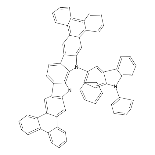 c1ccc(-n2c3ccccc3c3cc(-n4c5cc6c7ccccc7c7ccccc7c6cc5c5ccc6c7cc8c9ccccc9c9ccccc9c8cc7n(-c7ccccc7)c6c54)ccc32)cc1